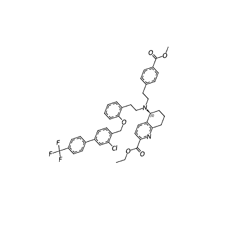 CCOC(=O)c1ccc2c(n1)CCC[C@@H]2N(CCc1ccc(C(=O)OC)cc1)CCc1ccccc1OCc1ccc(-c2ccc(C(F)(F)F)cc2)cc1Cl